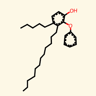 CCCCCCCCCCCCc1c(CCCCC)ccc(O)c1Oc1ccccc1